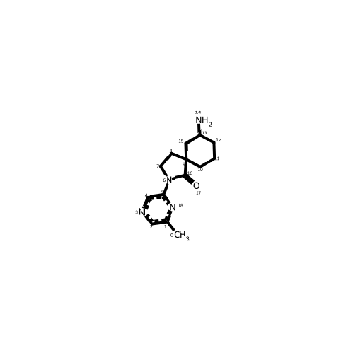 Cc1cncc(N2CCC3(CCCC(N)C3)C2=O)n1